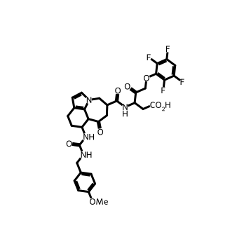 COc1ccc(CNC(=O)NC2CCc3ccn4c3C2C(=O)CC(C(=O)NC(CC(=O)O)C(=O)COc2c(F)c(F)cc(F)c2F)C4)cc1